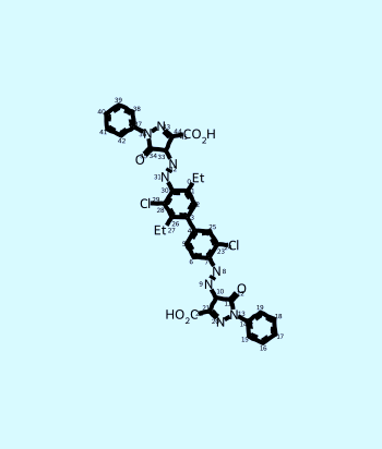 CCc1cc(-c2ccc(N=NC3C(=O)N(c4ccccc4)N=C3C(=O)O)c(Cl)c2)c(CC)c(Cl)c1N=NC1C(=O)N(c2ccccc2)N=C1C(=O)O